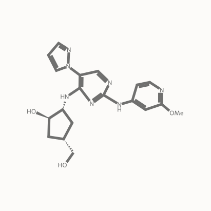 COc1cc(Nc2ncc(-n3cccn3)c(N[C@@H]3C[C@H](CO)C[C@H]3O)n2)ccn1